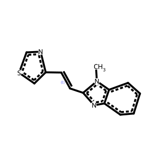 Cn1c(/C=C/c2cscn2)nc2ccccc21